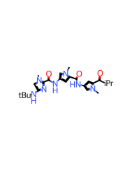 CC(C)C(=O)c1cc(NC(=O)c2cc(NC(=O)c3nc(NC(C)(C)C)cn3C)cn2C)cn1C